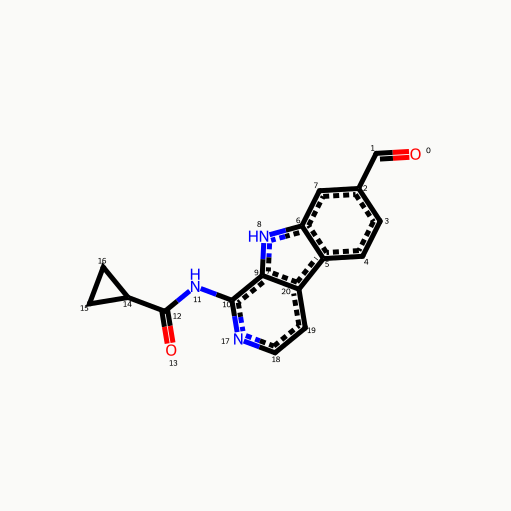 O=Cc1ccc2c(c1)[nH]c1c(NC(=O)C3CC3)nccc12